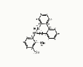 CC(C)(C)c1cccc([PH][Pd][c]2ccccc2-c2ccccc2N)c1C(C)(C)C